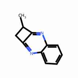 CC1Cc2nc3ccccc3nc21